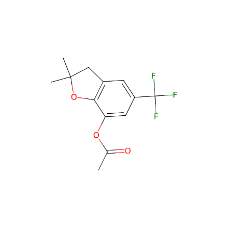 CC(=O)Oc1cc(C(F)(F)F)cc2c1OC(C)(C)C2